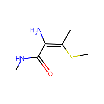 CNC(=O)C(N)=C(C)SC